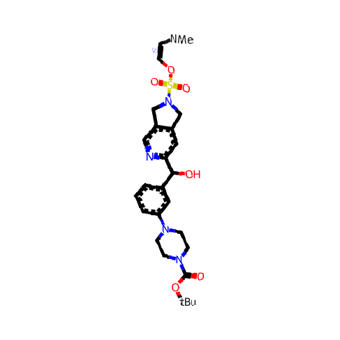 CN/C=C\OS(=O)(=O)N1Cc2cnc(C(O)c3cccc(N4CCN(C(=O)OC(C)(C)C)CC4)c3)cc2C1